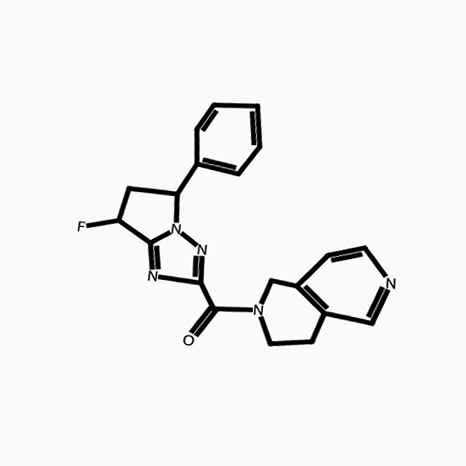 O=C(c1nc2n(n1)C(c1ccccc1)CC2F)N1CCc2cnccc2C1